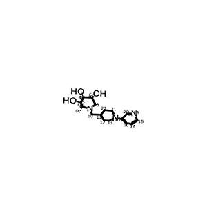 C[C@@H]1[C@@H](O)[C@H](O)[C@@H](O)CN1CC1CCN(c2cccnc2)CC1